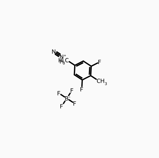 Cc1cc(F)c(C)c(F)c1.F[B-](F)(F)F.N#[NH+]